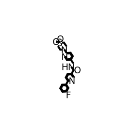 O=C(NCc1ccc(N2CCS(=O)(=O)CC2)nc1)c1ccc(-c2cccc(F)c2)nc1